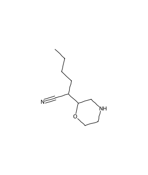 CCCCC(C#N)C1CNCCO1